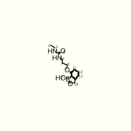 CCNC(=O)NCCCOc1cccc2c1B(O)OC2